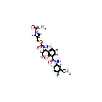 CC(=O)N1CC(COC(=O)N[C@H]2CCOc3c(C(=O)Nc4ccc(F)c(C)c4)ccc(F)c32)C1